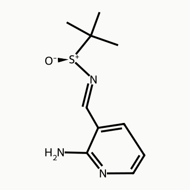 CC(C)(C)[S@+]([O-])N=Cc1cccnc1N